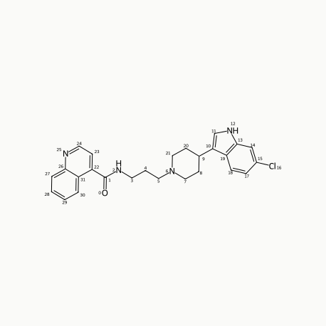 O=C(NCCCN1CCC(c2c[nH]c3cc(Cl)ccc23)CC1)c1ccnc2ccccc12